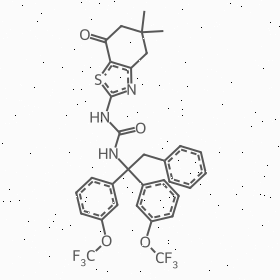 CC1(C)CC(=O)c2sc(NC(=O)NC(Cc3ccccc3)(c3cccc(OC(F)(F)F)c3)c3cccc(OC(F)(F)F)c3)nc2C1